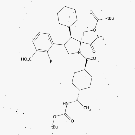 CC(NC(=O)OC(C)(C)C)[C@H]1CC[C@H](C(=O)N2CC(c3cccc(C(=O)O)c3F)[C@@H](C3CCCCC3)[C@@]2(COC(=O)C(C)(C)C)C(N)=O)CC1